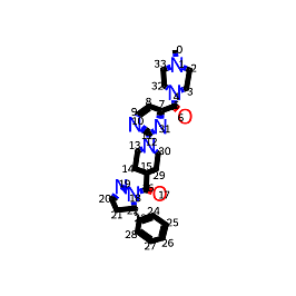 CN1CCN(C(=O)c2ccnc(N3CCC(C(=O)N4N=CC[C@H]4c4ccccc4)CC3)n2)CC1